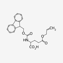 C=CCOC(=O)CCC(NC(=O)OCC1c2ccccc2-c2ccccc21)C(=O)O